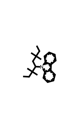 CCC(C)(C)CC(n1c2ccccc2c2ccccc21)C(C)(C)CC